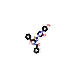 COc1ccc(N2CCN(c3nc(NC(=O)c4ccccc4)c(C(=O)c4ccccc4)s3)CC2=O)cc1